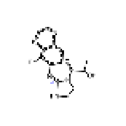 CC(O)C(=O)N1CCN/C1=N/c1ccc2nccnc2c1Br